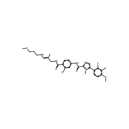 COCCCN/C=C(\C)CNC(=O)c1ccc(NC(=O)c2ncc(-c3ccc(OC)c(F)c3F)n2C)cc1Cl